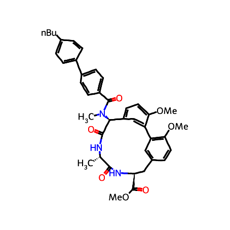 CCCCc1ccc(-c2ccc(C(=O)N(C)[C@@H]3C(=O)N[C@@H](C)C(=O)N[C@H](C(=O)OC)Cc4ccc(OC)c(c4)-c4cc3ccc4OC)cc2)cc1